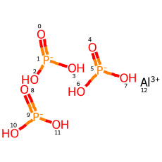 O=[P-](O)O.O=[P-](O)O.O=[P-](O)O.[Al+3]